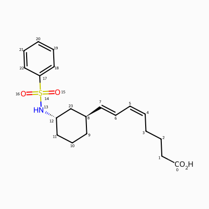 O=C(O)CCC/C=C\C=C\[C@H]1CCC[C@H](NS(=O)(=O)c2ccccc2)C1